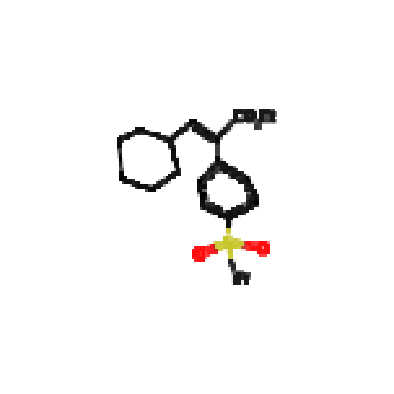 CCOC(=O)/C(=C/C1CCCCC1)c1ccc(S(=O)(=O)C(C)C)cc1